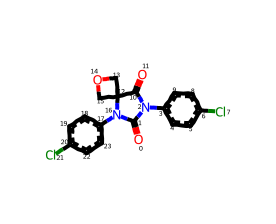 O=C1N(c2ccc(Cl)cc2)C(=O)C2(COC2)N1c1ccc(Cl)cc1